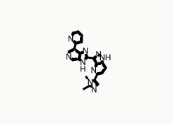 Cc1ncc(-c2ccc3[nH]nc(-c4nc5c(-c6ccccn6)cncc5[nH]4)c3n2)n1C